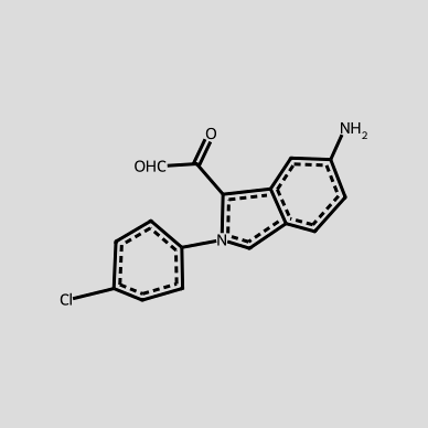 Nc1ccc2cn(-c3ccc(Cl)cc3)c(C(=O)C=O)c2c1